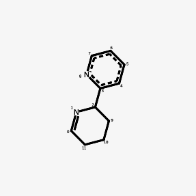 C1=NC(c2ccccn2)CCC1